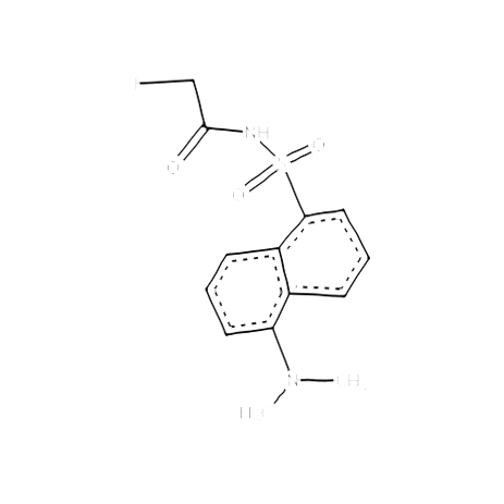 CN(C)c1cccc2c(S(=O)(=O)NC(=O)CI)cccc12